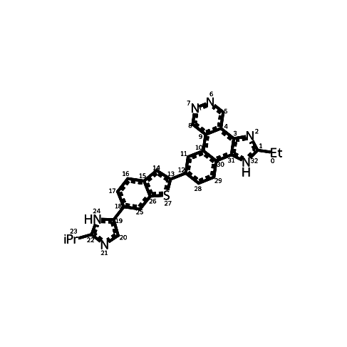 CCc1nc2c3cnncc3c3cc(-c4cc5ccc(-c6cnc(C(C)C)[nH]6)cc5s4)ccc3c2[nH]1